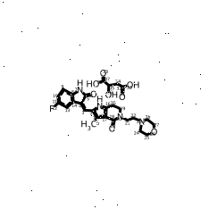 Cc1c(C=C2C(=O)Nc3ccc(F)cc32)[nH]c2c1C(=O)N(CCN1CCOCC1)CC2.O=C(O)CC(O)C(=O)O